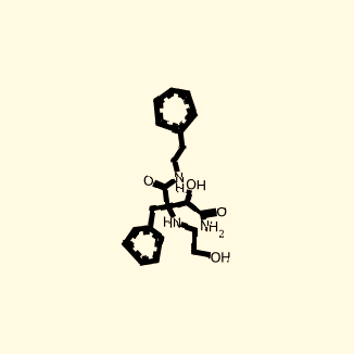 NC(=O)C(O)C(Cc1ccccc1)(NCCO)C(=O)NCCc1ccccc1